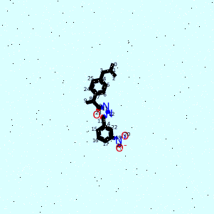 CC(C)Cc1ccc(C(C)c2nnc(-c3cccc([N+](=O)[O-])c3)o2)cc1